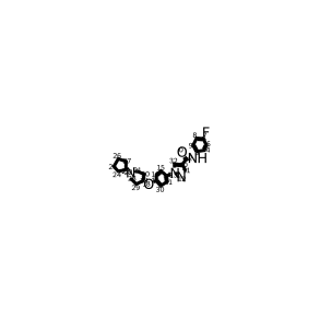 O=C(Nc1ccc(F)cc1)c1cnn(-c2ccc(OC3CCN(C4CCCC4)CC3)cc2)c1